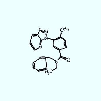 CCN(Cc1ccccc1)C(=O)c1ccc(C)c(-n2nnc3cccnc32)c1